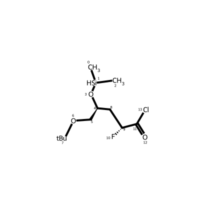 C[SiH](C)O[C@H](COC(C)(C)C)C[C@@H](F)C(=O)Cl